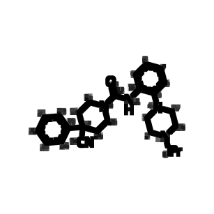 CC(C)N1CCN(c2ccccc2NC(=O)N2CCC(C#N)(c3ccccc3)CC2)CC1